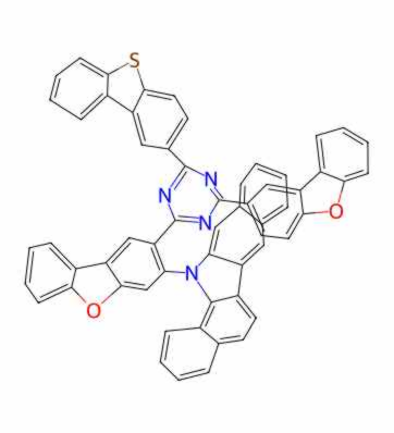 c1ccc2cc3c(cc2c1)c1ccc2ccccc2c1n3-c1cc2oc3ccccc3c2cc1-c1nc(-c2ccc3oc4ccccc4c3c2)nc(-c2ccc3sc4ccccc4c3c2)n1